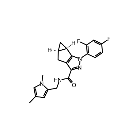 Cc1cc(CNC(=O)c2nn(-c3ccc(F)cc3F)c3c2C[C@H]2C[C@@H]32)n(C)c1